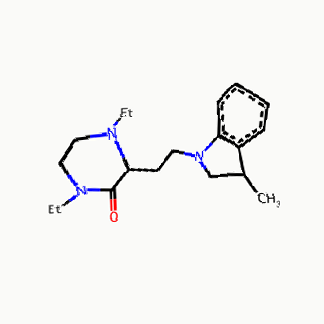 CCN1CCN(CC)C(CCN2CC(C)c3ccccc32)C1=O